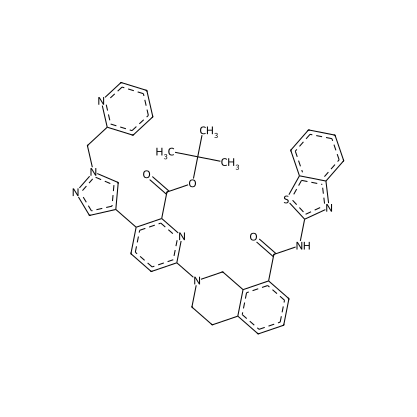 CC(C)(C)OC(=O)c1nc(N2CCc3cccc(C(=O)Nc4nc5ccccc5s4)c3C2)ccc1-c1cnn(Cc2ccccn2)c1